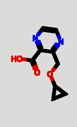 O=C(O)c1nccnc1COC1CC1